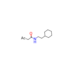 CC(=O)CC(=O)NCCC1CCCCC1